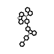 c1ccc(-c2ccc(-n3c4ccccc4c4cc(-c5ccc(N(c6cccc7ccccc67)c6cccc7oc8ccccc8c67)cc5)ccc43)cc2)cc1